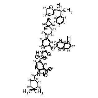 CC(C)c1ccccc1[C@H]1COCCC1N1CC2(CCN(c3ccc(C(=O)NS(=O)(=O)c4cnc(NCC5CCC(C)(C)CC5)c([N+](=O)[O-])c4)c(Oc4cnc5[nH]ccc5c4)c3)CC2)C1